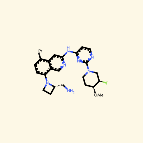 CO[C@H]1CCN(c2nccc(Nc3cc4c(C(C)C)ccc(N5CC[C@H]5CN)c4cn3)n2)C[C@H]1F